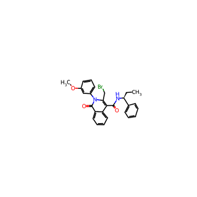 CC[C@H](NC(=O)c1c(CBr)n(-c2cccc(OC)c2)c(=O)c2ccccc12)c1ccccc1